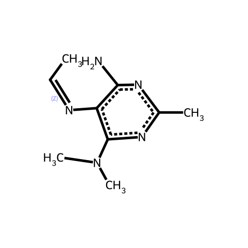 C/C=N\c1c(N)nc(C)nc1N(C)C